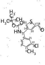 Cc1ccc(C(NC(=O)OC(C)(C)C)c2csc(C=O)c2)cc1Cl